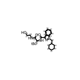 CC(C)(C)[C@H](NC(=O)c1nn(CC2CCCCC2)c2ccccc12)C(=O)NCCO